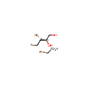 O=C(O)CS.OC[C@@H](O)[C@@H](S)CS